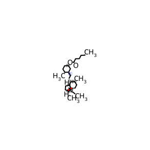 CCCCCC(=O)O[C@H]1CCC(C)/C(=C\C[C@@H]2[C@@H](C)CC[C@]34CN(C)[C@@H](C)[C@H]3CC[C@@H]24)C1